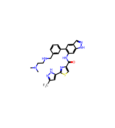 CN(C)CCNCc1cccc(-c2cc3cn[nH]c3cc2NC(=O)c2csc(-c3cc(C(F)(F)F)n[nH]3)n2)c1